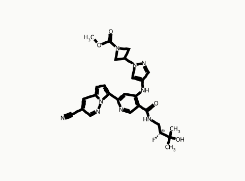 COC(=O)N1CC(n2cc(Nc3cc(-c4ccc5cc(C#N)cnn45)ncc3C(=O)NC[C@@H](F)C(C)(C)O)cn2)C1